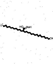 CCCCCCCCCCCCCCCCC(CCCCCCCCCCCC)C(=O)O.[NaH]